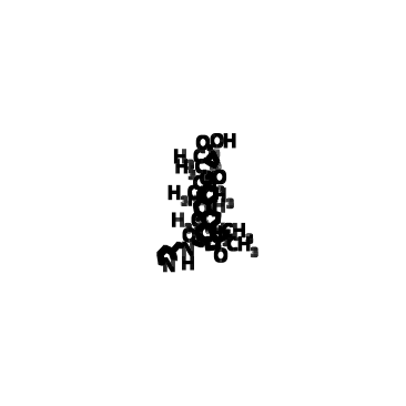 CC(C)C1=C2[C@H]3CC[C@@H]4[C@@]5(C)CC[C@H](OC(=O)[C@H]6C[C@@H](C(=O)O)C6(C)C)C(C)(C)[C@@H]5CC[C@@]4(C)[C@]3(C)CC[C@@]2(CC(=O)NCc2cccnc2)CC1=O